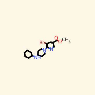 COC(=O)c1cnc(N2CCC(NC3CCCCC3)CC2)c(Br)c1